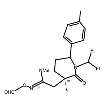 CCC(CC)N1C(=O)[C@@](C)(C/C(=N/OC=O)NC)CCC1c1ccc(C)cc1